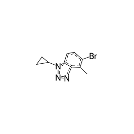 Cc1c(Br)ccc2c1nnn2C1CC1